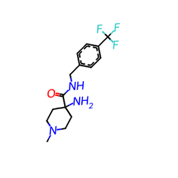 CN1CCC(N)(C(=O)NCc2ccc(C(F)(F)F)cc2)CC1